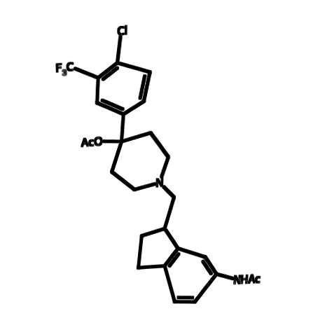 CC(=O)Nc1ccc2c(c1)C(CN1CCC(OC(C)=O)(c3ccc(Cl)c(C(F)(F)F)c3)CC1)CC2